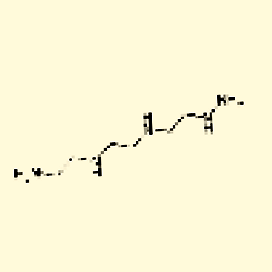 NCCNCCNCCNN